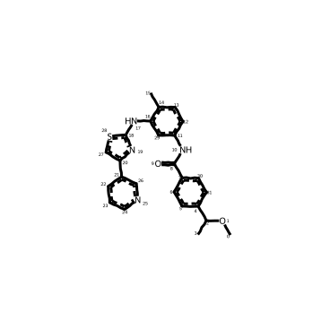 COC(C)c1ccc(C(=O)Nc2ccc(C)c(Nc3nc(-c4cccnc4)cs3)c2)cc1